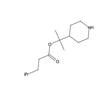 CC(C)CCC(=O)OC(C)(C)C1CCNCC1